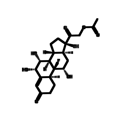 CC(=O)OCC(=O)[C@@]1(O)CC[C@H]2[C@@H]3[C@@H](O)[C@@H](O)C4=CC(=O)CC[C@]4(C)[C@@]3(F)[C@@H](O)C[C@@]21C